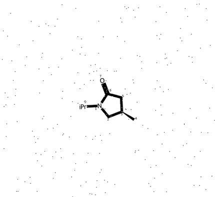 CC(C)N1C[C@H](C)CC1=O